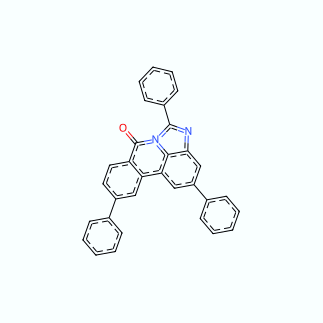 O=c1c2ccc(-c3ccccc3)cc2c2cc(-c3ccccc3)cc3nc(-c4ccccc4)n1c32